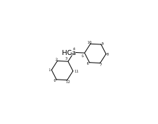 C1CC[CH]([GaH][CH]2CCCCC2)CC1